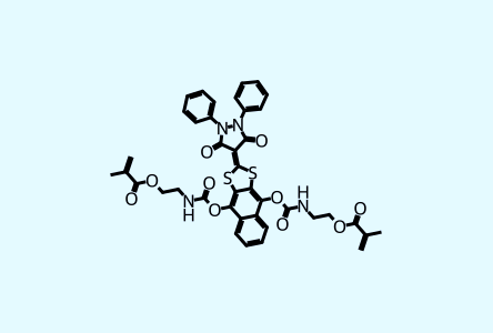 C=C(C)C(=O)OCCNC(=O)Oc1c2c(c(OC(=O)NCCOC(=O)C(=C)C)c3ccccc13)SC(=C1C(=O)N(c3ccccc3)N(c3ccccc3)C1=O)S2